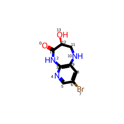 O=C1Nc2ncc(Br)cc2NC[C@@H]1O